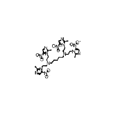 Cc1ncc([N+](=O)[O-])n1CCN(CCCCCN(CCn1c([N+](=O)[O-])cnc1C)CCn1c([N+](=O)[O-])cnc1C)CCn1c([N+](=O)[O-])cnc1C